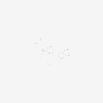 CC(=O)OCN1C(=O)C2(CCNCC2)c2cc(Cc3cccc4ccccc34)ccc21